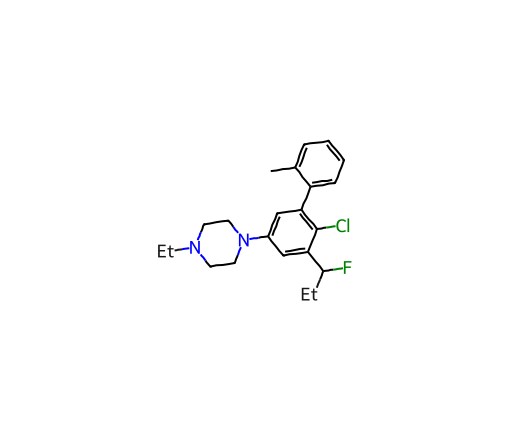 CCC(F)c1cc(N2CCN(CC)CC2)cc(-c2ccccc2C)c1Cl